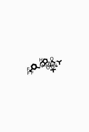 CN[C@@H](CC(C)C)C(=O)N(C(=O)OC(C)(C)C)[C@H]1CC[C@H]2CN(Cc3cccc(C(F)(F)F)c3)C[C@H]21